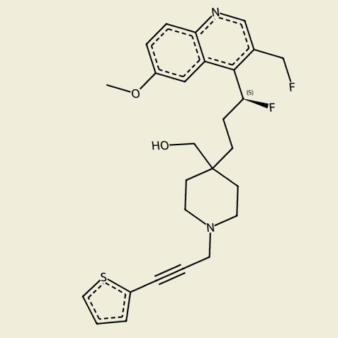 COc1ccc2ncc(CF)c([C@@H](F)CCC3(CO)CCN(CC#Cc4cccs4)CC3)c2c1